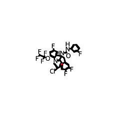 O=C(Nc1cccc(F)c1)NC(Cc1ccc(F)c(F)c1)(c1cc(F)cc(OC(F)(F)C(F)F)c1)c1ccc(Cl)cn1